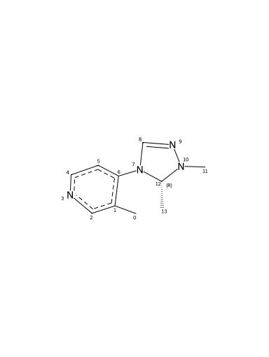 Cc1cnccc1N1C=NN(C)[C@@H]1C